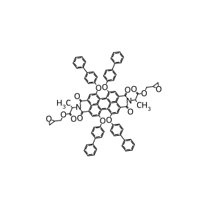 CC(C(=O)OCC1CO1)N1C(=O)c2cc(Oc3ccc(-c4ccccc4)cc3)c3c4c(Oc5ccc(-c6ccccc6)cc5)cc5c6c(cc(Oc7ccc(-c8ccccc8)cc7)c(c7c(Oc8ccc(-c9ccccc9)cc8)cc(c2c37)C1=O)c64)C(=O)N(C(C)C(=O)OCC1CO1)C5=O